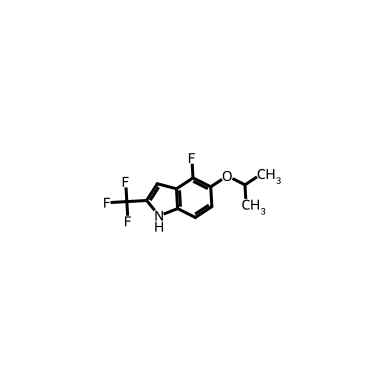 CC(C)Oc1ccc2[nH]c(C(F)(F)F)cc2c1F